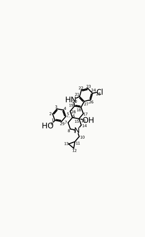 Oc1cccc([C@@]23CCN(CC4CC4)C[C@@]2(O)Cc2c([nH]c4ccc(Cl)cc24)C3)c1